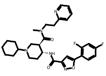 CN(CCc1ccccn1)C(=O)[C@@H]1CN(C2CCCCC2)CC[C@H]1NC(=O)c1cc(-c2ccc(F)cc2F)on1